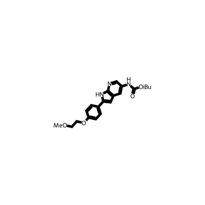 COCCOc1ccc(-c2cc3cc(NC(=O)OCC(C)C)cnc3[nH]2)cc1